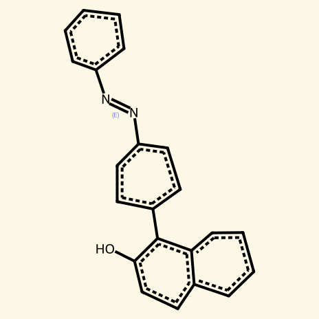 Oc1ccc2ccccc2c1-c1ccc(/N=N/c2ccccc2)cc1